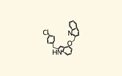 Clc1ccc(Cc2cc3c(OCc4ccc5ccccc5n4)cccc3[nH]2)cc1